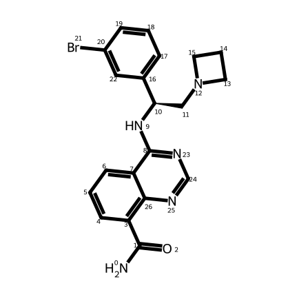 NC(=O)c1cccc2c(N[C@H](CN3CCC3)c3cccc(Br)c3)ncnc12